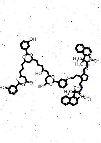 CCCC1CC(CC(O)CCCC2CC(CCCC3CC(CC)OC(c4cccc(O)c4)O3)OC(c3cccc(O)c3)O2)OC(c2cccc(OCCC3=C(/C=C/C4=[N+](C)c5ccc6ccccc6c5C4(C)C)CC/C3=C\C=C3\N(C)c4ccc5ccccc5c4C3(C)C)c2)O1